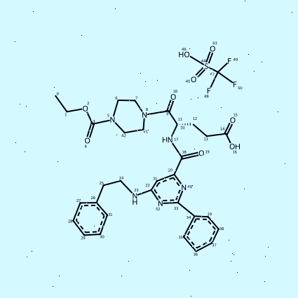 CCOC(=O)N1CCN(C(=O)[C@H](CCC(=O)O)NC(=O)c2cc(NCCc3ccccc3)nc(-c3ccccc3)n2)CC1.O=S(=O)(O)C(F)(F)F